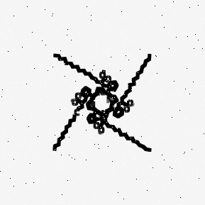 CCCCCCCCCCCCCCCC(Cc1ccccc1-c1c2nc(c(-c3ccccc3CC(CCCCCCCCCCCCCCC)C(=O)OC)c3ccc([nH]3)c(-c3ccccc3CC(CCCCCCCCCCCCCCC)C(=O)OC)c3nc(c(-c4ccccc4CC(CCCCCCCCCCCCCCC)C(=O)OC)c4ccc1[nH]4)C=C3)C=C2)C(=O)OC